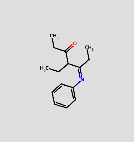 CCC(=O)C(CC)/C(CC)=N\c1ccccc1